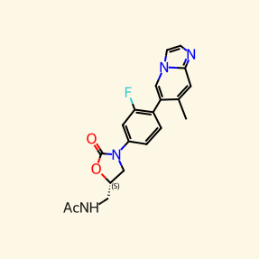 CC(=O)NC[C@H]1CN(c2ccc(-c3cn4ccnc4cc3C)c(F)c2)C(=O)O1